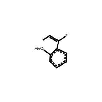 C/C=C(/F)c1ccccc1OC